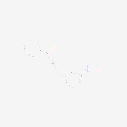 O=CNc1cccc(CNCC(=O)c2ccccc2)c1